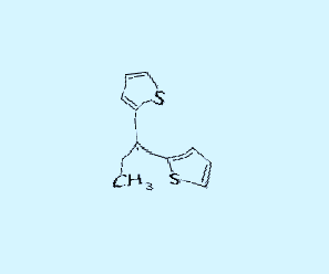 CC[C](c1cccs1)c1cccs1